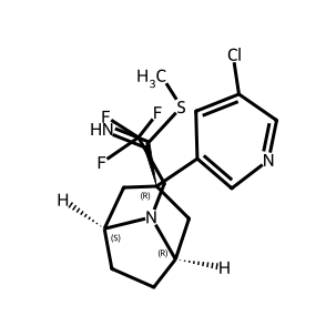 CSC(=N)[C@@]1(c2cncc(Cl)c2)C[C@H]2CC[C@@H](C1)N2CC(F)(F)F